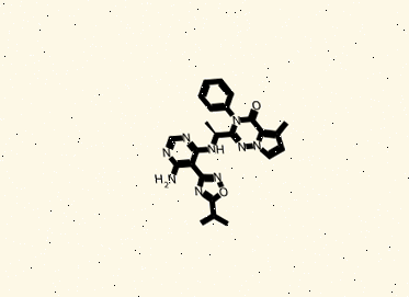 Cc1ccn2nc([C@H](C)Nc3ncnc(N)c3-c3noc(C(C)C)n3)n(-c3ccccc3)c(=O)c12